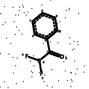 O=C(B(F)F)c1ccccc1